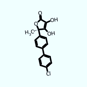 C[C@]1(c2ccc(-c3ccc(Cl)cc3)cc2)OC(=O)C(O)=C1O